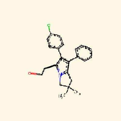 CC1(C)Cc2c(-c3ccccc3)c(-c3ccc(Cl)cc3)c(C[C]=O)n2C1